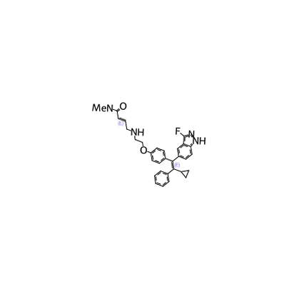 CNC(=O)/C=C/CNCCOc1ccc(/C(=C(\c2ccccc2)C2CC2)c2ccc3[nH]nc(F)c3c2)cc1